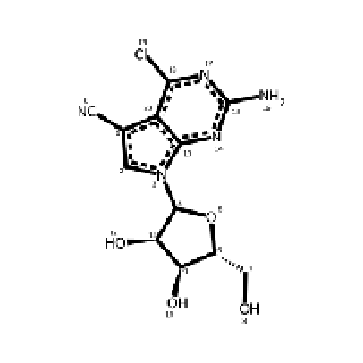 N#Cc1cn(C2O[C@H](CO)[C@@H](O)[C@H]2O)c2nc(N)nc(Cl)c12